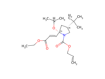 C=CCOC(=O)N1C[C@@H](C(C)(C)C)C[C@@]1(C=CC(=O)OCC)O[SiH](C)C